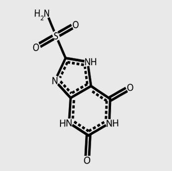 NS(=O)(=O)c1nc2[nH]c(=O)[nH]c(=O)c2[nH]1